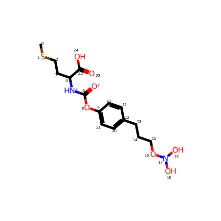 CSCCC(NC(=O)Oc1ccc(CCCON(O)O)cc1)C(=O)O